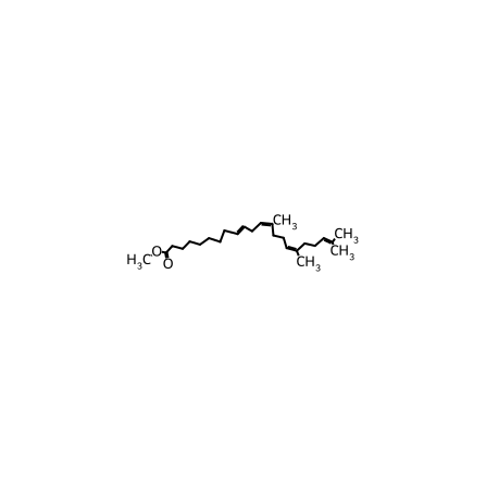 COC(=O)CCCCCCCC=CCC=C(C)CCC=C(C)CCC=C(C)C